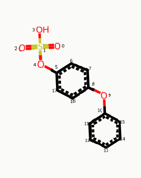 O=S(=O)(O)Oc1ccc(Oc2ccccc2)cc1